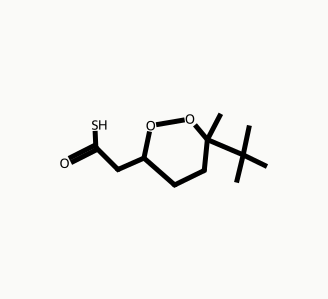 CC(C)(C)C1(C)CCC(CC(=O)S)OO1